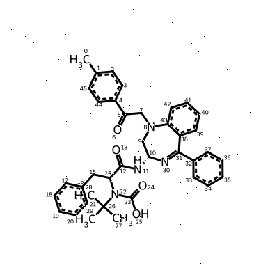 Cc1ccc(C(=O)CN2C[C@@H](NC(=O)C(Cc3ccccc3)N(C(=O)O)C(C)(C)C)N=C(c3ccccc3)c3ccccc32)cc1